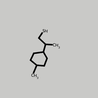 CC1CCC(C(C)CS)CC1